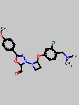 COc1ccc(C2=NN(N3CCC3Oc3ccc(CN(C)C)c(Cl)c3)C(C=O)O2)cc1